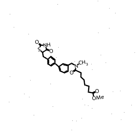 COC(=O)CCCCCCC(=O)N(C)Cc1cccc(-c2ccc(CC3SC(=O)NC3=O)cc2)c1